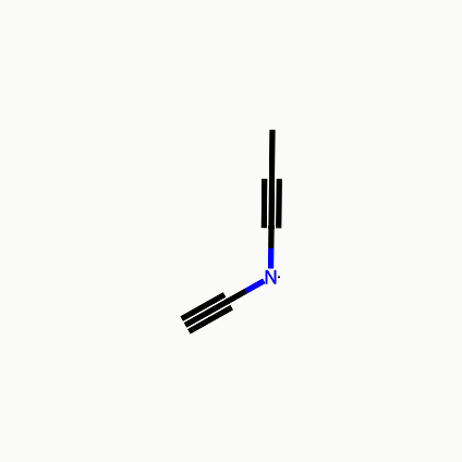 C#C[N]C#CC